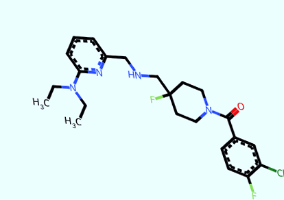 CCN(CC)c1cccc(CNCC2(F)CCN(C(=O)c3ccc(F)c(Cl)c3)CC2)n1